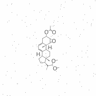 COC(OC)C(C)[C@H]1CC[C@H]2C3=CC=C4CC(OC(C)=O)C5OC5[C@]4(C)[C@H]3CC[C@]12C